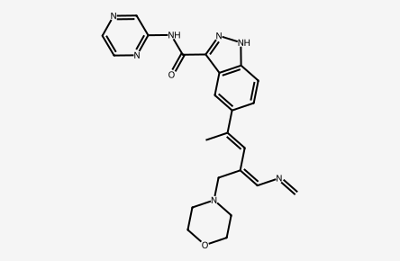 C=N/C=C(\C=C(/C)c1ccc2[nH]nc(C(=O)Nc3cnccn3)c2c1)CN1CCOCC1